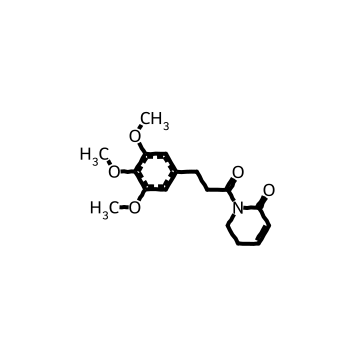 COc1cc(CCC(=O)N2CCC=CC2=O)cc(OC)c1OC